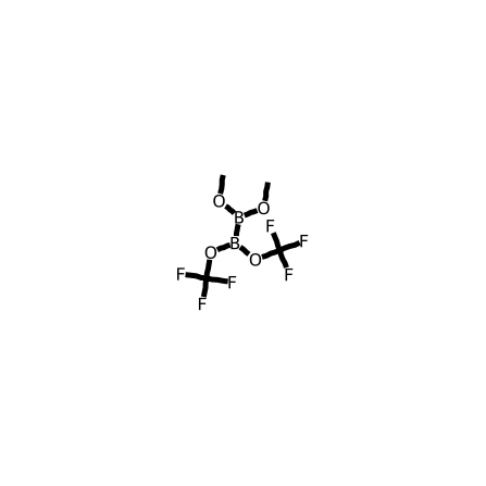 COB(OC)B(OC(F)(F)F)OC(F)(F)F